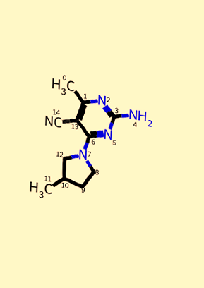 Cc1nc(N)nc(N2CCC(C)C2)c1C#N